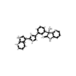 O=C1Nc2cccnc2[C@@]1(O)c1cccc(-c2csc(-c3c[nH]c4ncccc34)n2)c1